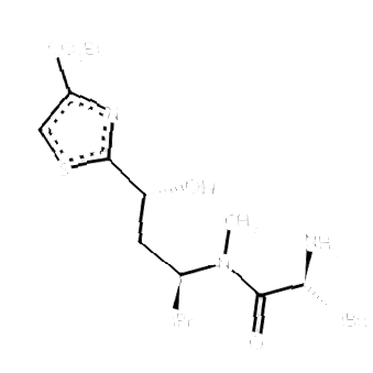 CCOC(=O)c1csc([C@H](O)C[C@H](C(C)C)N(C)C(=O)[C@@H](N)[C@@H](C)CC)n1